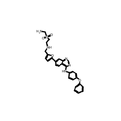 NCS(=O)(=O)CCNCc1ccc(-c2ccc3c(Nc4ccc(Oc5ccccc5)cc4)ncnc3c2)o1